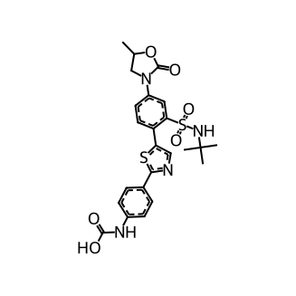 CC1CN(c2ccc(-c3cnc(-c4ccc(NC(=O)O)cc4)s3)c(S(=O)(=O)NC(C)(C)C)c2)C(=O)O1